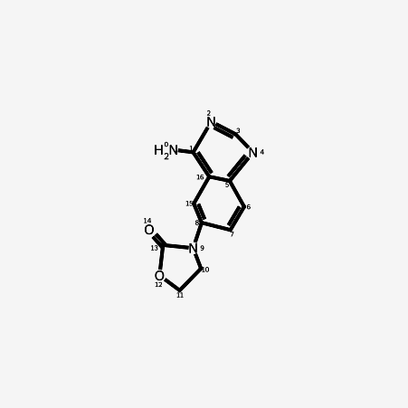 Nc1ncnc2ccc(N3CCOC3=O)cc12